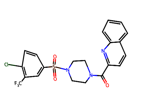 O=C(c1ccc2ccccc2n1)N1CCN(S(=O)(=O)c2ccc(Cl)c(C(F)(F)F)c2)CC1